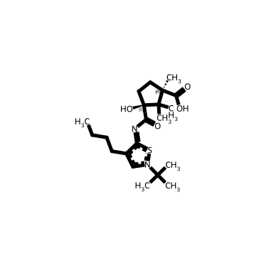 CCCCc1cn(C(C)(C)C)sc1=NC(=O)[C@]1(O)CC[C@@](C)(C(=O)O)C1(C)C